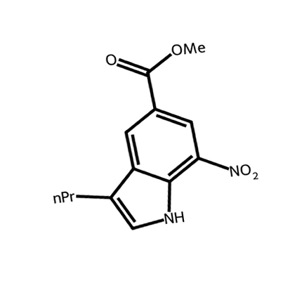 CCCc1c[nH]c2c([N+](=O)[O-])cc(C(=O)OC)cc12